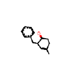 CC1=CC(Cc2ccccc2)C(=O)CC1